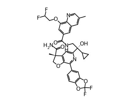 Cc1cnc2c(OCC(F)F)cc(C(=O)NC[C@](O)(c3cc4c(c(-c5ccc6c(c5)OC(F)(F)O6)n3)OC[C@]4(C)C(N)=O)C3CC3)cc2c1